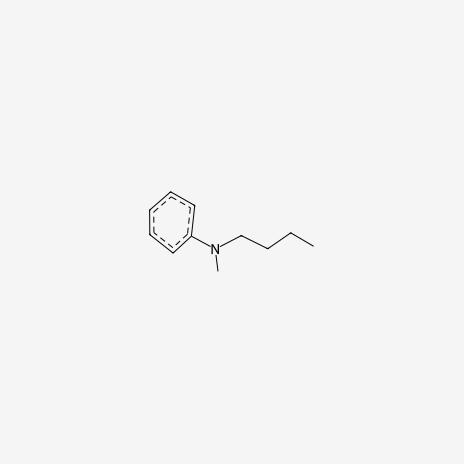 CCCCN(C)c1ccccc1